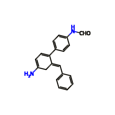 NC1=CC=C(c2ccc(NC=O)cc2)C(=Cc2ccccc2)C1